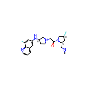 C=NC[C@@H]1C[C@H](F)CN1C(=O)CN1CC[C@@H](Nc2cc(F)c3ncccc3c2)C1